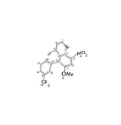 COc1cc([N+](=O)[O-])c2nccc(C)c2c1-c1cccc(C(F)(F)F)c1